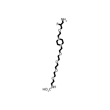 NCC(F)COCCN1CCN(CCOCCOCCOCCOCCNC(=O)O)CC1